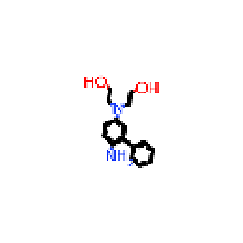 Nc1ccc(N(CCO)CCO)cc1-c1ccccc1